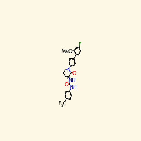 COc1cc(F)ccc1-c1ccc(N2CCC[C@@H](NC(=O)Nc3ccc(C(F)(F)F)cc3)C2=O)cc1